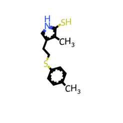 Cc1ccc(SCCc2c[nH]c(S)c2C)cc1